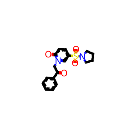 O=C(Cn1cc(S(=O)(=O)N2CCCC2)ccc1=O)c1ccccc1